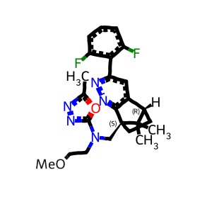 COCCN(C[C@@]12CC[C@@H](c3cc(-c4c(F)cccc4F)nnc31)C2(C)C)c1nnc(C)o1